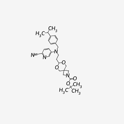 CC(C)c1ccc(CN(CCC2OCC3(CO2)CN(C(=O)OC(C)(C)C)C3)c2ccc(C#N)nc2)cc1